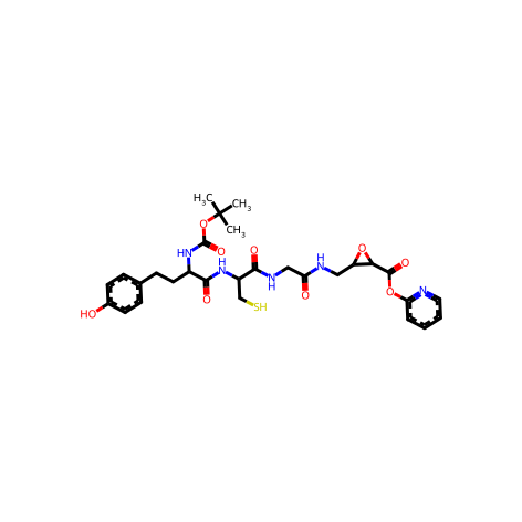 CC(C)(C)OC(=O)NC(CCc1ccc(O)cc1)C(=O)NC(CS)C(=O)NCC(=O)NCC1OC1C(=O)Oc1ccccn1